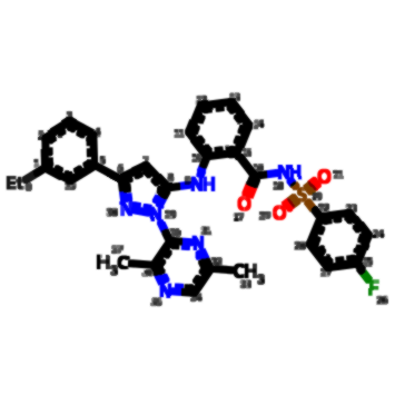 CCc1cccc(-c2cc(Nc3ccccc3C(=O)NS(=O)(=O)c3ccc(F)cc3)n(-c3nc(C)cnc3C)n2)c1